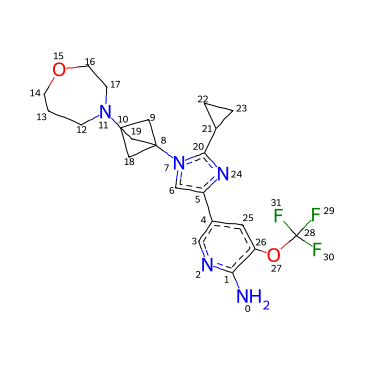 Nc1ncc(-c2cn(C34CC(N5CCCOCC5)(C3)C4)c(C3CC3)n2)cc1OC(F)(F)F